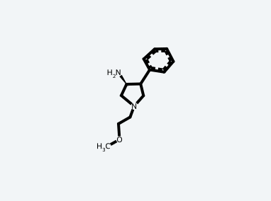 COCCN1CC(c2ccccc2)[C@H](N)C1